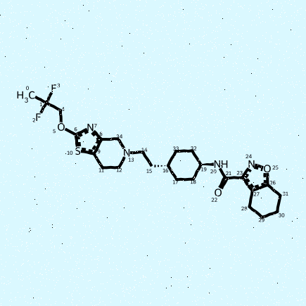 CC(F)(F)COc1nc2c(s1)CCN(CC[C@H]1CC[C@H](NC(=O)c3noc4c3CCCC4)CC1)C2